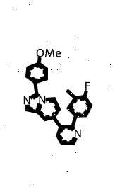 COc1ccc(-c2ncc3cc(-c4cccnc4-c4ccc(F)c(C)c4)ccn23)cc1